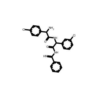 N=C(NC(=O)C(NC(=O)C(N)c1ccc(Cl)cc1)c1cccc(Cl)c1)c1ccccc1